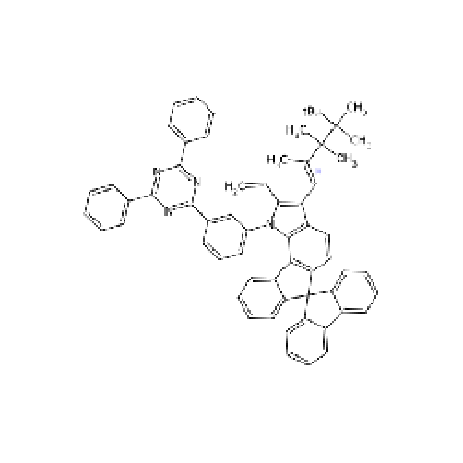 C=Cc1c(/C=C(\C)C(C)(C)C(C)(C)C(C)(C)C)c2ccc3c(c2n1-c1cccc(-c2nc(-c4ccccc4)nc(-c4ccccc4)n2)c1)-c1ccccc1C31c2ccccc2-c2ccccc21